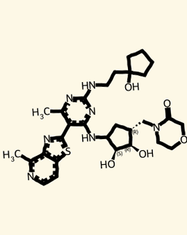 Cc1nc(NCCC2(O)CCCC2)nc(NC2C[C@H](CN3CCOCC3=O)[C@@H](O)[C@H]2O)c1-c1nc2c(C)nccc2s1